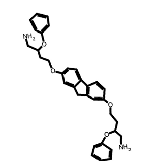 NCC(CCOc1ccc2c(c1)Cc1cc(OCCC(CN)Oc3ccccc3)ccc1-2)Oc1ccccc1